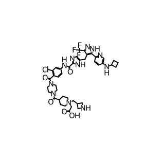 O=C(O)C[N+]1(CC2CNC2)CCC(C(=O)N2CCN(C(=O)c3ccc(NC(=O)c4ncc(Cc5c(C(F)(F)F)n[nH]c5-c5ccc(NC6CCC6)cn5)[nH]4)cc3Cl)CC2)CC1